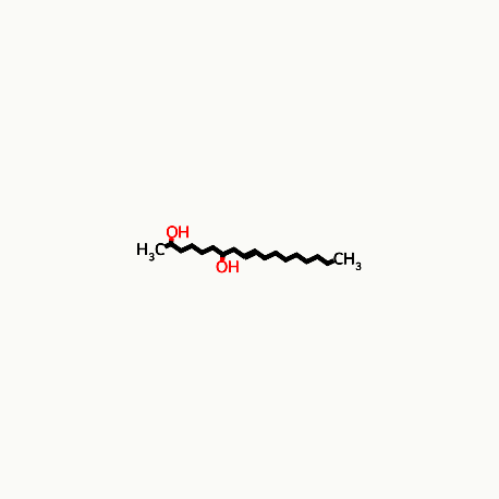 CCCCCCCCC=CCC(O)CCCCC(C)O